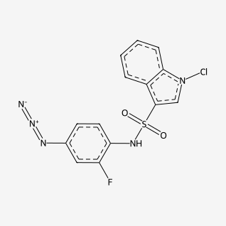 [N-]=[N+]=Nc1ccc(NS(=O)(=O)c2cn(Cl)c3ccccc23)c(F)c1